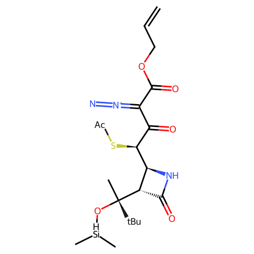 C=CCOC(=O)C(=[N+]=[N-])C(=O)[C@H](SC(C)=O)[C@H]1NC(=O)[C@@H]1[C@@](C)(O[SiH](C)C)C(C)(C)C